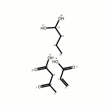 C=CC(=O)O.CC(=O)CC(=O)O.CCCC(O)O